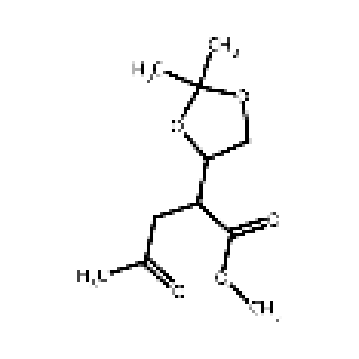 COC(=O)C(CC(C)=O)C1COC(C)(C)O1